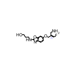 NC/C(=C\F)COc1ccc2nc(NCCCO)oc2c1